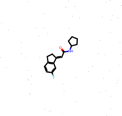 O=C(C=C1CCc2ccc(F)cc21)NC1CCCC1